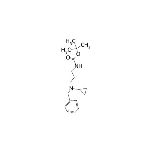 CC(C)(C)OC(=O)NCCCN(Cc1ccccc1)C1CC1